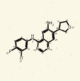 Nc1cc2c(Nc3ccc(F)c(Cl)c3)ncnc2cc1C1CCOC1